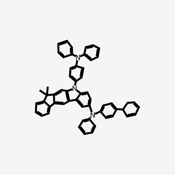 CC1(C)c2ccccc2-c2cc3c4cc(N(c5ccccc5)c5ccc(C6C=CC=CC6)cc5)ccc4n(-c4ccc(N(c5ccccc5)c5ccccc5)cc4)c3cc21